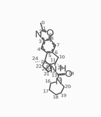 Cc1nc2cc3c(cc2o1)C[C@H]1N(C(=O)N2CCCCC2)CC[C@]3(C)C1(C)C